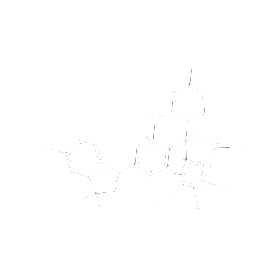 Cc1ccc2c(c1)C(C)(C)CN2c1ccc2c(c1)Oc1cc(Cl)ccc1C21OC(=O)c2c(F)c(F)c(F)c(F)c21